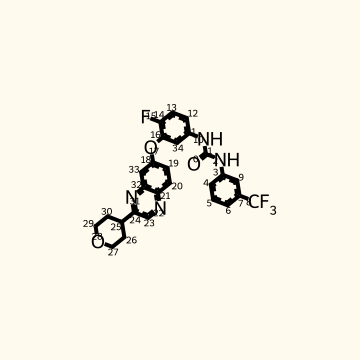 O=C(Nc1cccc(C(F)(F)F)c1)Nc1ccc(F)c(Oc2ccc3ncc(C4CCOCC4)nc3c2)c1